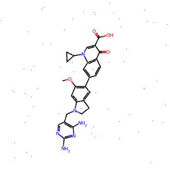 COc1cc2c(cc1-c1ccc3c(=O)c(C(=O)O)cn(C4CC4)c3c1)CCN2Cc1cnc(N)nc1N